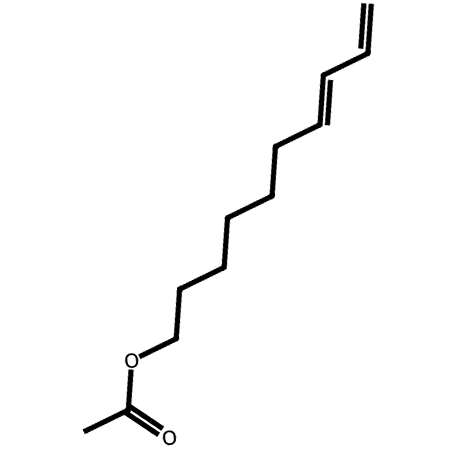 C=CC=CCCCCCCOC(C)=O